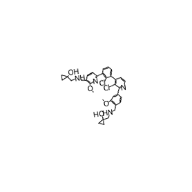 COc1cc(-c2nccc(-c3cccc(-c4ccc(CNCC5(O)CC5)c(OC)n4)c3Cl)c2Cl)ccc1CNCC1(O)CC1